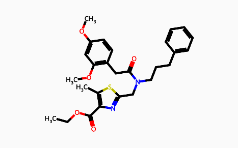 CCOC(=O)c1nc(CN(CCCc2ccccc2)C(=O)Cc2ccc(OC)cc2OC)sc1C